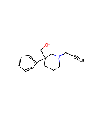 C#CCN1CCCC(CO)(c2ccccc2)C1